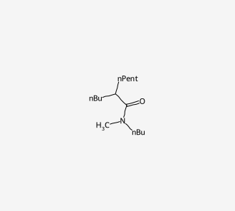 CCCCCC(CCCC)C(=O)N(C)CCCC